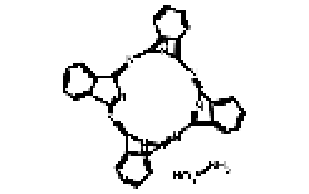 NS(=O)(=O)O.c1ccc2c(c1)-c1nc-2nc2[nH]c(nc3nc(nc4[nH]c(n1)c1ccccc41)-c1ccccc1-3)c1ccccc21